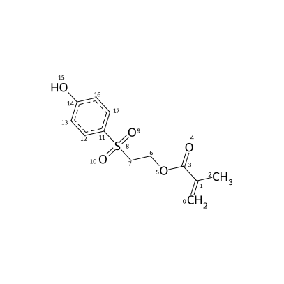 C=C(C)C(=O)OCCS(=O)(=O)c1ccc(O)cc1